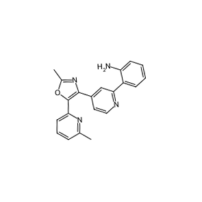 Cc1cccc(-c2oc(C)nc2-c2ccnc(-c3ccccc3N)c2)n1